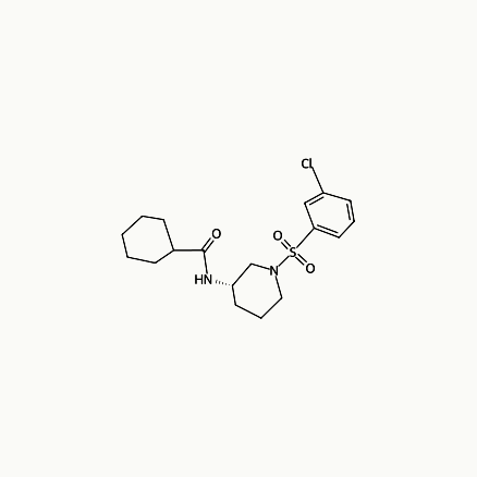 O=C(N[C@H]1CCCN(S(=O)(=O)c2cccc(Cl)c2)C1)C1CCCCC1